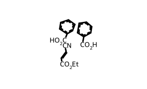 CCOC(=O)C=CC#N.O=C(O)c1ccccc1.O=C(O)c1ccccc1